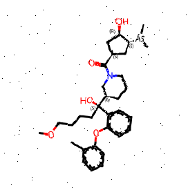 COCCCC[C@@](O)(c1ccccc1Oc1ccccc1C)[C@@H]1CCCN(C(=O)[C@H]2C[C@@H](O)[C@H]([As](C)C)C2)C1